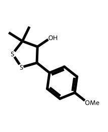 COc1ccc(C2SSC(C)(C)C2O)cc1